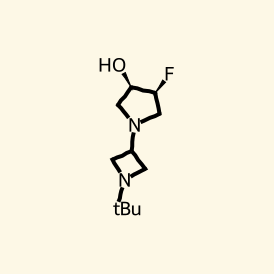 CC(C)(C)N1CC(N2C[C@@H](O)[C@@H](F)C2)C1